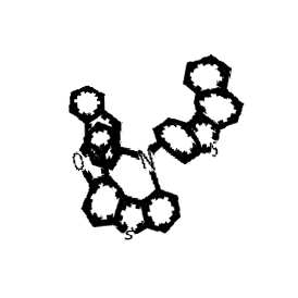 c1ccc(N(c2ccc3c(c2)sc2ccc4ccccc4c23)c2cccc3sc4ccc5oc6c7ccccc7ccc6c5c4c23)cc1